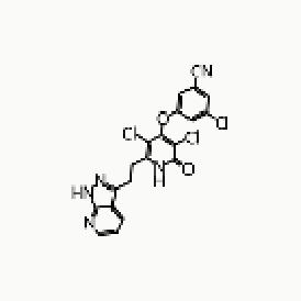 N#Cc1cc(Cl)cc(Oc2c(Cl)c(CCc3n[nH]c4ncccc34)[nH]c(=O)c2Cl)c1